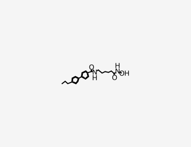 CCCc1ccc(-c2ccc(C(=O)NCCCCCC(=O)NO)cc2)cc1